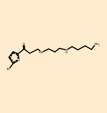 NCCCCNCCCNCCC(=O)c1ccc(Br)s1